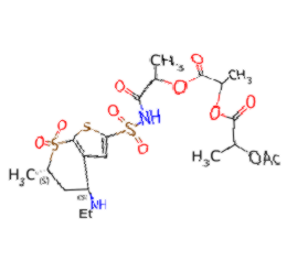 CCN[C@H]1C[C@H](C)S(=O)(=O)c2sc(S(=O)(=O)NC(=O)C(C)OC(=O)C(C)OC(=O)C(C)OC(C)=O)cc21